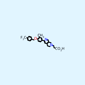 Cc1cc(-c2cc3c(cn2)CN(CCC(=O)O)CC3)ccc1OCc1ccc(C(F)(F)F)cc1